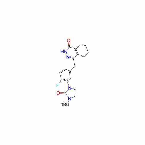 CC(C)(C)N1CCN(c2cc(Cc3n[nH]c(=O)c4c3CCCC4)ccc2F)C1=O